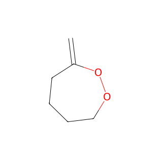 C=C1CCCCOO1